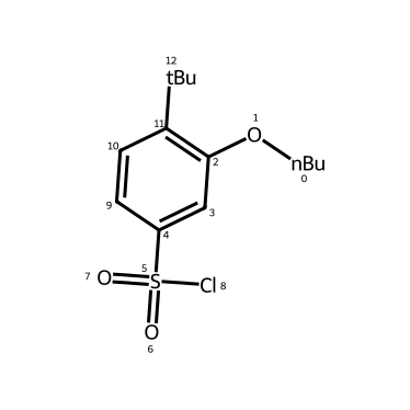 CCCCOc1cc(S(=O)(=O)Cl)ccc1C(C)(C)C